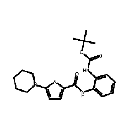 CC(C)(C)OC(=O)Nc1ccccc1NC(=O)c1ccc(N2CCCCC2)s1